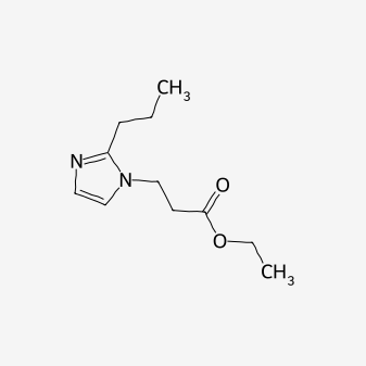 CCCc1nccn1CCC(=O)OCC